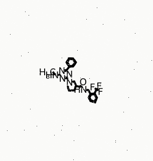 CNc1nc(-c2ccccc2)nc(N2CCCC(C(=O)NCc3ccccc3C(F)(F)F)C2)n1